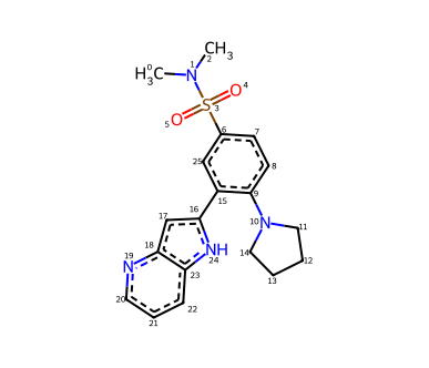 CN(C)S(=O)(=O)c1ccc(N2CCCC2)c(-c2cc3ncccc3[nH]2)c1